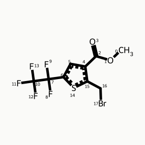 COC(=O)c1cc(C(F)(F)C(F)(F)F)sc1CBr